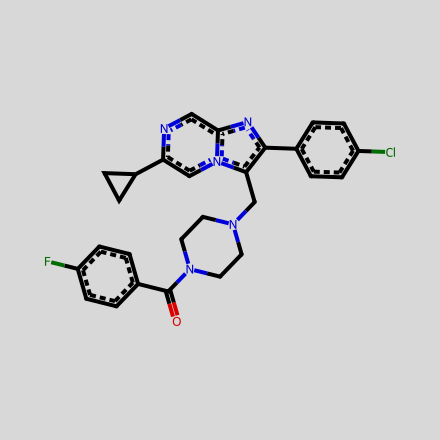 O=C(c1ccc(F)cc1)N1CCN(Cc2c(-c3ccc(Cl)cc3)nc3cnc(C4CC4)cn23)CC1